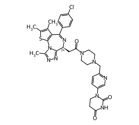 Cc1sc2c(c1C)C(c1ccc(Cl)cc1)=N[C@@H](CC(=O)N1CCN(Cc3ccc(N4CCC(=O)NC4=O)cn3)CC1)c1nnc(C)n1-2